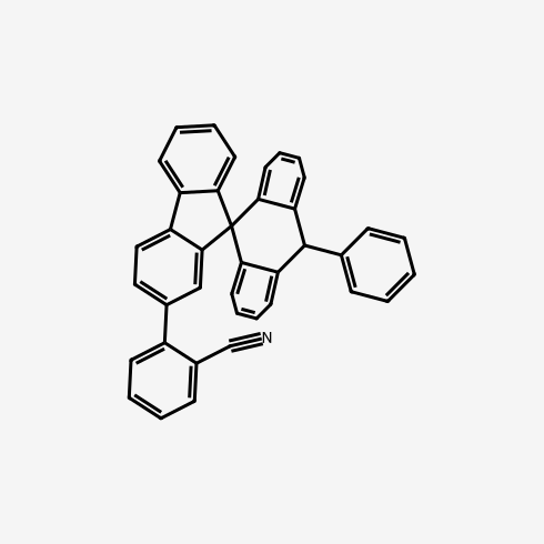 N#Cc1ccccc1-c1ccc2c(c1)C1(c3ccccc3-2)c2ccccc2C(c2ccccc2)c2ccccc21